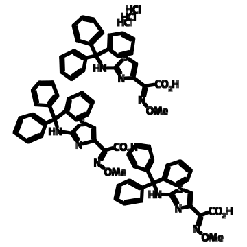 CON=C(C(=O)O)c1csc(NC(c2ccccc2)(c2ccccc2)c2ccccc2)n1.CON=C(C(=O)O)c1csc(NC(c2ccccc2)(c2ccccc2)c2ccccc2)n1.CON=C(C(=O)O)c1csc(NC(c2ccccc2)(c2ccccc2)c2ccccc2)n1.Cl.Cl.Cl